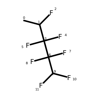 CC(F)C(F)(F)C(F)(F)[C](F)F